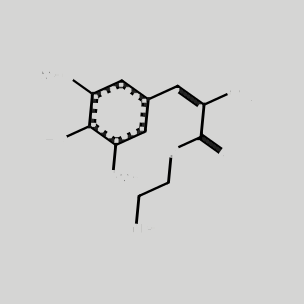 CCCCCCCCCCCCOC(=O)C(=Cc1cc(OC)c(O)c(OC)c1)C(=O)O